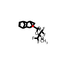 COC(OC(=O)C1CC2CC1C1C3C=CC(C3)C21)(C(F)F)C(F)(F)F